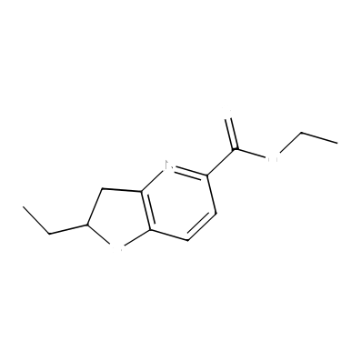 CCOC(=O)c1ccc2c(n1)CC(CC)O2